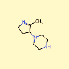 CC1=NCCC1N1CCNCC1